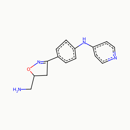 NCC1CC(c2ccc(Nc3ccncc3)cc2)=NO1